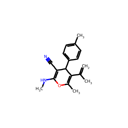 C=C(C)C1=C(C)OC(NC)=C(C#N)C1c1ccc(C)cc1